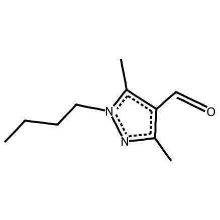 CCCCn1nc(C)c(C=O)c1C